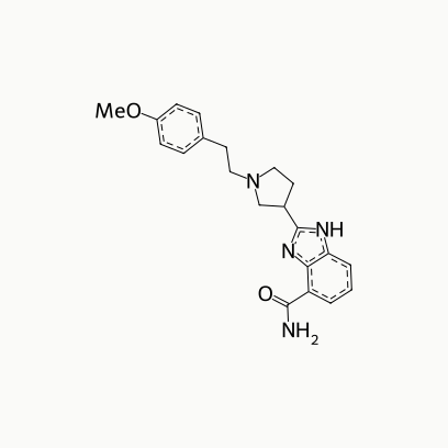 COc1ccc(CCN2CCC(c3nc4c(C(N)=O)cccc4[nH]3)C2)cc1